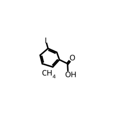 C.O=C(O)c1cccc(I)c1